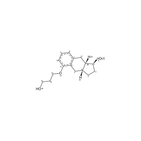 CCCCCCCC[C@H]1CC[C@@H]2Cc3c(cccc3OCCCO)C[C@H]12